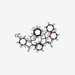 CN1/C(=C/C=C/C2=[N+](C)c3ccccc3C2(Cc2ccccc2)Cc2ccccc2)C(Cc2ccccc2)(Cc2ccccc2)c2cc(Cl)ccc21